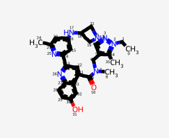 CCn1ncc(CN(C)C(=O)c2cc(-c3cc(NC4CNC4)cc(C)n3)nc3ccc(O)cc23)c1C